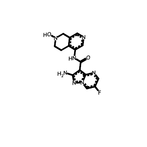 Nc1nn2cc(F)cnc2c1C(=O)Nc1cncc2c1CCN(O)C2